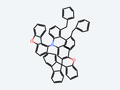 c1ccc(Cc2ccccc2-c2c(Cc3ccccc3)cccc2N(c2ccc3c(c2)C2(c4ccccc4O3)c3ccccc3-c3ccccc32)c2cccc3oc4ccccc4c23)cc1